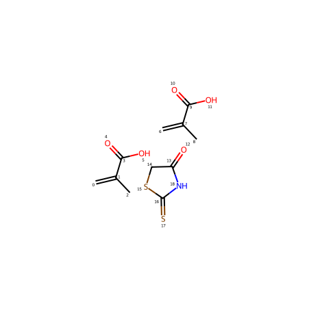 C=C(C)C(=O)O.C=C(C)C(=O)O.O=C1CSC(=S)N1